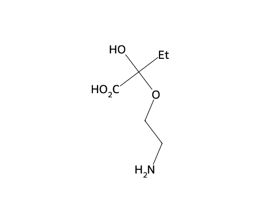 CCC(O)(OCCN)C(=O)O